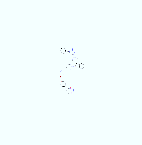 O=C1CC[C@H](c2ccc(OC3CCN(C(=O)C4CCN(C(=O)C5(c6ccccc6)CCN(c6cnnc(-c7ccccc7O)c6)CC5)CC4)CC3)cc2)C(=O)N1